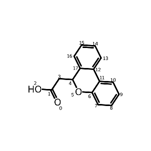 O=C(O)CC1Oc2ccccc2-c2ccccc21